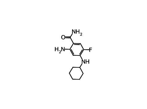 NC(=O)c1cc(F)c(NC2CCCCC2)cc1N